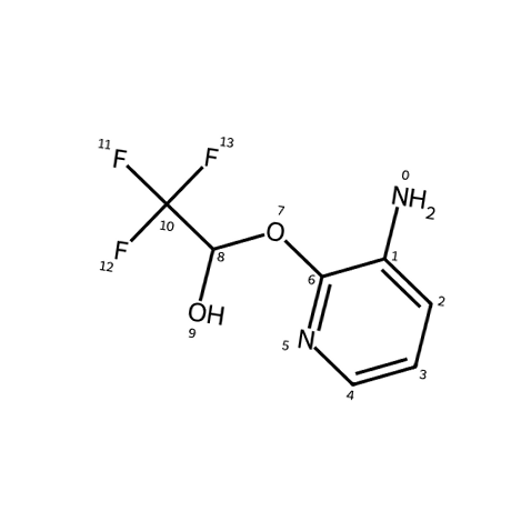 Nc1cccnc1OC(O)C(F)(F)F